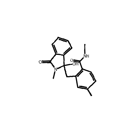 CNC(=O)c1ccc(C)cc1CC1(O)c2ccccc2C(=O)N1C